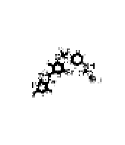 Cc1cc(C)c(N(C)C(=O)c2cc(Br)c3c(c2C)OC(C)(C[C@H]2CC[C@@H](NC(=O)OC(C)(C)C)CC2)O3)c(=O)[nH]1